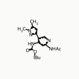 CC(=O)Nc1cc(NC(=O)OC(C)(C)C)c(-c2cc(C)n(C)n2)cn1